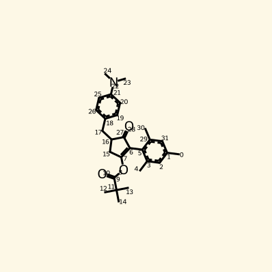 Cc1cc(C)c(C2=C(OC(=O)C(C)(C)C)CC(Cc3ccc(N(C)C)cc3)C2=O)c(C)c1